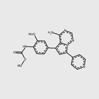 COc1cc(-c2cc(-c3ccncc3)n3ncnc(N)c23)ccc1NC(=O)OC(C)(C)C